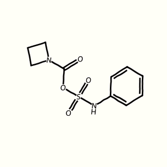 O=C(OS(=O)(=O)Nc1ccccc1)N1CCC1